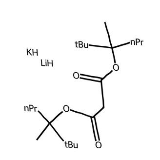 CCCC(C)(OC(=O)CC(=O)OC(C)(CCC)C(C)(C)C)C(C)(C)C.[KH].[LiH]